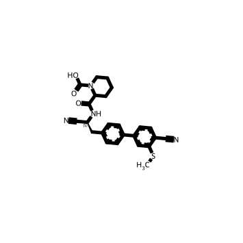 CSc1cc(-c2ccc(C[C@@H](C#N)NC(=O)C3CCCCN3C(=O)O)cc2)ccc1C#N